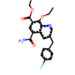 CCOC(=O)c1cc(C(N)=O)c2cc(Cc3ccc(F)cc3)cnc2c1OCC